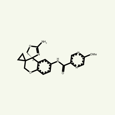 COc1cnc(C(=O)Nc2ccc3c(c2)[C@@]2(COC(N)=N2)C2(CC2)CO3)cn1